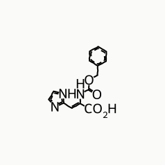 O=C(N/C(=C\c1ncc[nH]1)C(=O)O)OCc1ccccc1